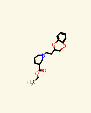 CCOC(=O)C1CCCN(CCC2COc3ccccc3O2)C1